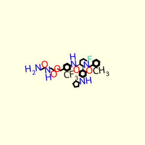 Cc1cccc(F)c1C(=O)N1CCC[C@H](C(=O)Nc2ccc(COC(=O)CNC(=O)CN)c(C(F)(F)F)c2)[C@@H]1c1ccc(NC2CCCC2)cc1